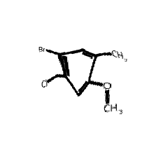 COc1cc(Cl)c(Br)cc1C